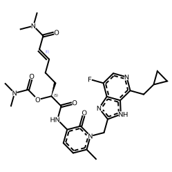 Cc1ccc(NC(=O)[C@H](CC/C=C/C(=O)N(C)C)OC(=O)N(C)C)c(=O)n1Cc1nc2c(F)cnc(CC3CC3)c2[nH]1